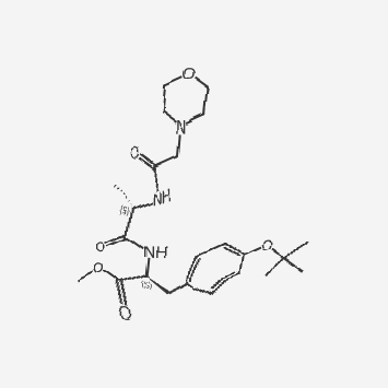 COC(=O)[C@H](Cc1ccc(OC(C)(C)C)cc1)NC(=O)[C@H](C)NC(=O)CN1CCOCC1